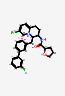 O=C(NC1CCc2ccc(Br)c(=O)n2C1Cc1cccc(-c2cccc(F)c2)c1)C1CCCO1